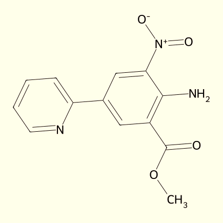 COC(=O)c1cc(-c2ccccn2)cc([N+](=O)[O-])c1N